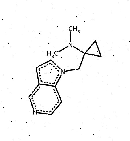 CN(C)C1(Cn2ccc3cnccc32)CC1